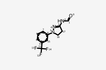 O=CNC1=NN(c2cccc(C(F)(F)F)c2)CC1